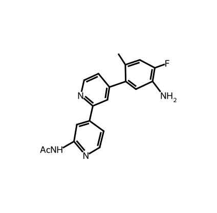 CC(=O)Nc1cc(-c2cc(-c3cc(N)c(F)cc3C)ccn2)ccn1